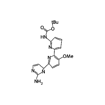 COc1ccc(-c2ccnc(N)n2)nc1-c1cccc(NC(=O)OC(C)(C)C)n1